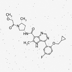 COCC(=O)N1C[C@@H](NC(=O)c2c(C)[nH]c3c(-c4cc(F)ccc4OCC4CC4)ncnc23)C[C@H]1C